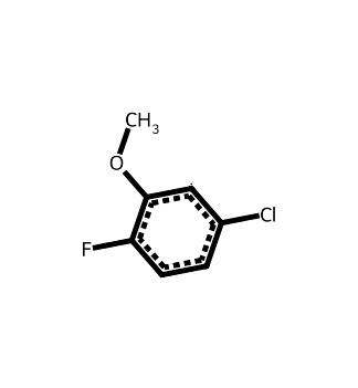 COc1[c]c(Cl)ccc1F